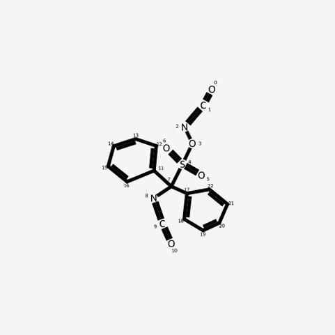 O=C=NOS(=O)(=O)C(N=C=O)(c1ccccc1)c1ccccc1